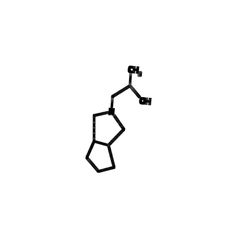 CC(O)CN1CC2CCCC2C1